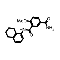 COc1ccc(C(N)=O)cc1C(=O)Nc1cccc2c1CCCC2